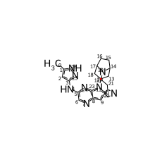 Cc1cc(Nc2cnc3ccn(C4CC5CCC(C4)N5CCC#N)c3n2)n[nH]1